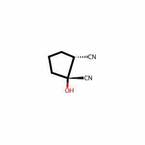 N#C[C@H]1CCC[C@]1(O)C#N